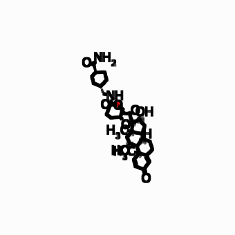 C[C@]12C=CC(=O)C=C1CC[C@@H]1C2[C@@H](O)C[C@@]2(C)C1C[C@@H](O)[C@]2(OC1CCCCC1)C(=O)COC(=O)NC[C@H]1CC[C@H](C(N)=O)CC1